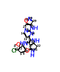 COc1c(Cl)cccc1Nc1c(-c2ccnc(Nc3cnoc3C)n2)[nH]c2c1C(=O)NCC2